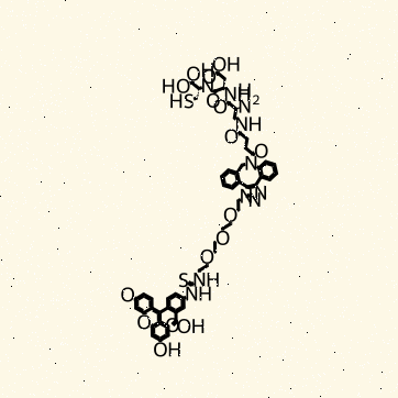 N[C@H](CNC(=O)CCC(=O)N1Cc2ccccc2-c2c(nnn2CCOCCOCCOCCNC(=S)Nc2ccc(-c3c4ccc(=O)cc-4oc4cc(O)ccc34)c(C(=O)O)c2)-c2ccccc21)C(=O)N[C@H](CC(=O)O)C(=O)N[C@H](CS)C(=O)O